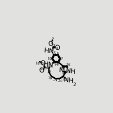 COC(=O)Nc1ccc2c(c1)N[C@@H](C(=O)OC)CCCC[C@H](N)c1nc-2c[nH]1